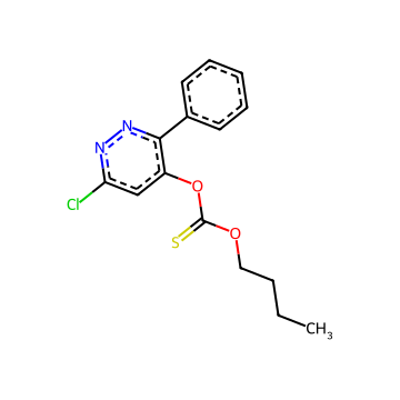 CCCCOC(=S)Oc1cc(Cl)nnc1-c1ccccc1